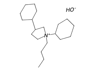 CCCC[N+]1(C2CCCCC2)CCC(C2CCCCC2)C1.[OH-]